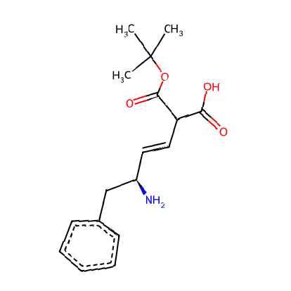 CC(C)(C)OC(=O)C(C=C[C@@H](N)Cc1ccccc1)C(=O)O